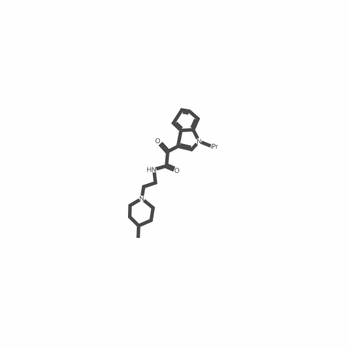 CC1CCN(CCNC(=O)C(=O)c2cn(C(C)C)c3ccccc23)CC1